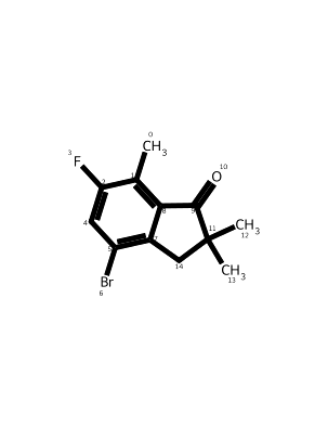 Cc1c(F)cc(Br)c2c1C(=O)C(C)(C)C2